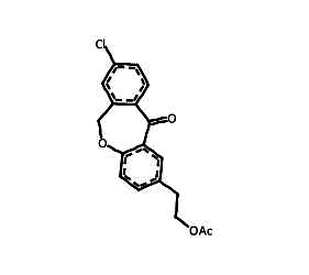 CC(=O)OCCc1ccc2c(c1)C(=O)c1ccc(Cl)cc1CO2